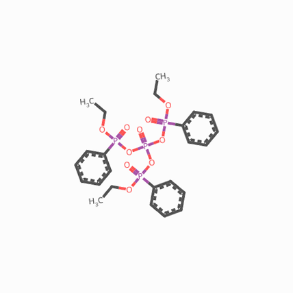 CCOP(=O)(OP(=O)(OP(=O)(OCC)c1ccccc1)OP(=O)(OCC)c1ccccc1)c1ccccc1